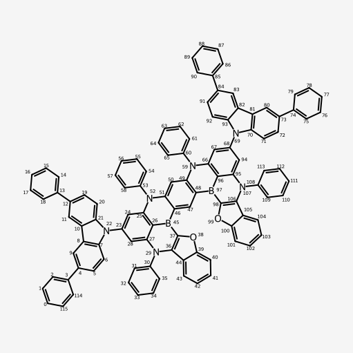 c1ccc(-c2ccc3c(c2)c2cc(-c4ccccc4)ccc2n3-c2cc3c4c(c2)N(c2ccccc2)c2c(oc5ccccc25)B4c2cc4c(cc2N3c2ccccc2)N(c2ccccc2)c2cc(-n3c5ccc(-c6ccccc6)cc5c5cc(-c6ccccc6)ccc53)cc3c2B4c2oc4ccccc4c2N3c2ccccc2)cc1